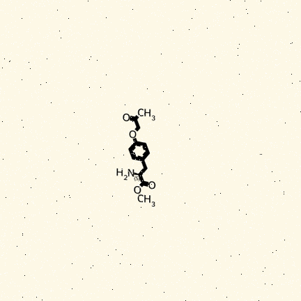 COC(=O)[C@@H](N)Cc1ccc(OCC(C)=O)cc1